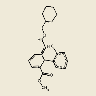 COC(=O)C1=CC=CC(=CNOCC2CCCCC2)C1c1ccccc1C